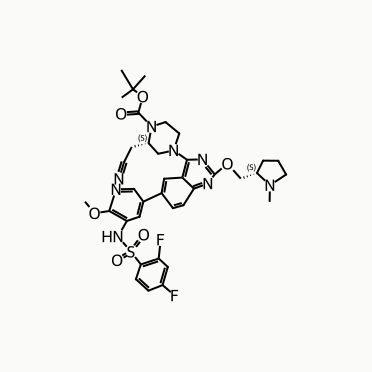 COc1ncc(-c2ccc3nc(OC[C@@H]4CCCN4C)nc(N4CCN(C(=O)OC(C)(C)C)[C@@H](CC#N)C4)c3c2)cc1NS(=O)(=O)c1ccc(F)cc1F